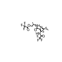 CSc1nc(C(=O)N[C@H](C)COC(=O)C(F)(F)F)c(NC(=O)C(F)(F)F)s1